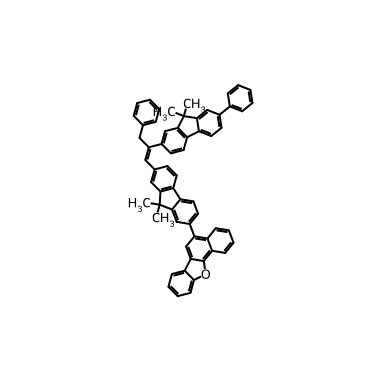 CC1(C)c2cc(/C(=C\c3ccc4c(c3)C(C)(C)c3cc(-c5cc6c7ccccc7oc6c6ccccc56)ccc3-4)Cc3ccccc3)ccc2-c2ccc(-c3ccccc3)cc21